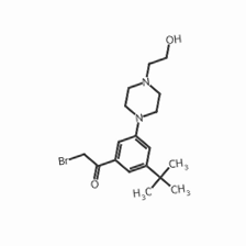 CC(C)(C)c1cc(C(=O)CBr)cc(N2CCN(CCO)CC2)c1